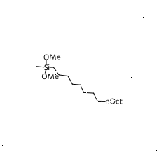 CCCCCCCCCCCCCCCC[Si](C)(OC)OC